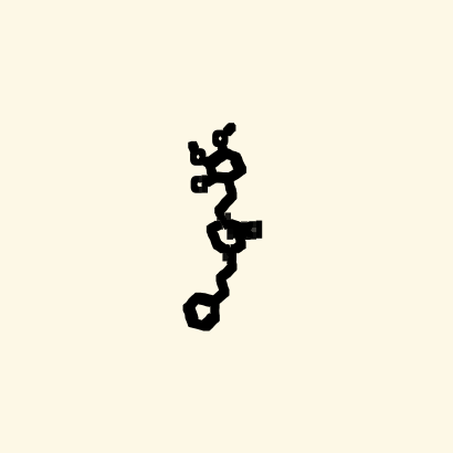 COc1ccc(CCN2CCN(CCCc3ccccc3)CC2)c(Cl)c1OC.Cl.Cl